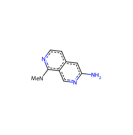 CNc1nccc2cc(N)ncc12